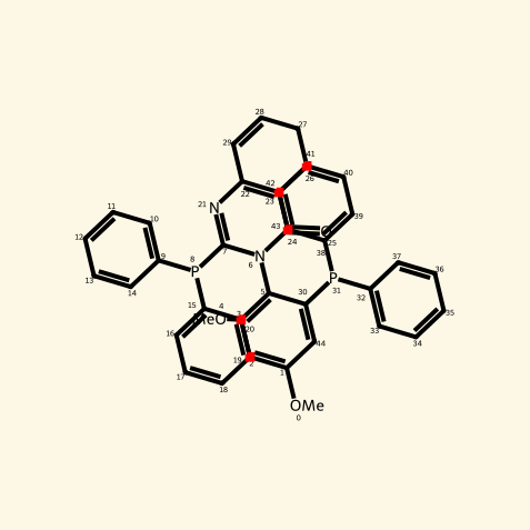 COc1cc(OC)c(-n2c(P(c3ccccc3)c3ccccc3)nc3c(c2=O)CCC=C3)c(P(c2ccccc2)c2ccccc2)c1